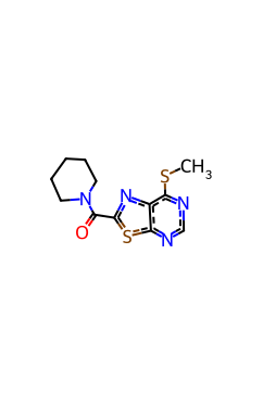 CSc1ncnc2sc(C(=O)N3CCCCC3)nc12